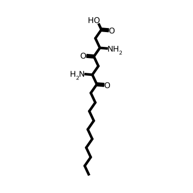 CCCCCCCCCCC(=O)C(N)CC(=O)C(N)CC(=O)O